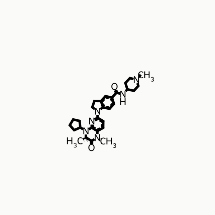 C[C@@H]1C(=O)N(C)c2ccc(N3CCc4cc(C(=O)NC5CCN(C)CC5)ccc43)nc2N1C1CCCC1